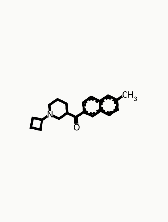 Cc1ccc2cc(C(=O)C3CCCN(C4CCC4)C3)ccc2c1